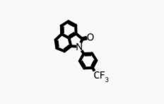 O=C1c2cccc3cccc(c23)N1c1ccc(C(F)(F)F)cc1